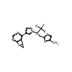 Cc1csc(C[C@@H](n2cc(-c3ncnc4c3C3CN43)cn2)C(F)(F)F)n1